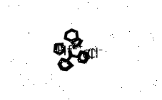 C1=CC[C]([Hf+2](=[C](c2ccccc2)c2ccccc2)[CH]2C=CC3=C2CCCC3)=C1.[Cl-].[Cl-]